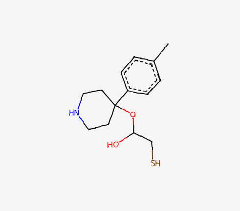 Cc1ccc(C2(OC(O)CS)CCNCC2)cc1